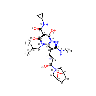 CNc1nn2c(O)c(C(=O)NC3CC3)c(=O)n(CC(C)C)c2c1/C=C/C(=O)N1CC2CCC(C1)O2